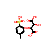 Cc1ccc(S(=O)(=O)O)cc1.O=C(O)C(O)C(O)C(=O)O